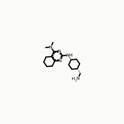 CN(C)c1nc(N[C@H]2CC[C@@H](CN)CC2)nc2c1CCCC2